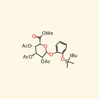 COC(=O)[C@H]1O[C@@H](Oc2ccccc2O[Si](C)(C)C(C)(C)C)[C@H](OC(C)=O)[C@@H](OC(C)=O)[C@@H]1OC(C)=O